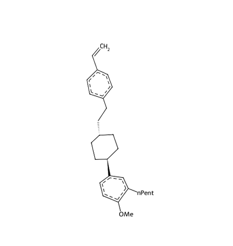 C=Cc1ccc(CC[C@H]2CC[C@H](c3ccc(OC)c(CCCCC)c3)CC2)cc1